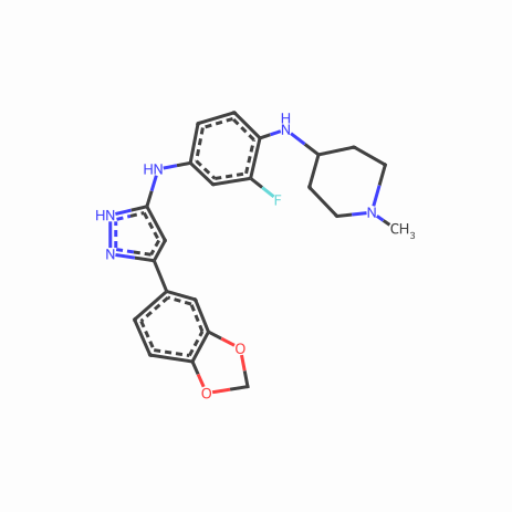 CN1CCC(Nc2ccc(Nc3cc(-c4ccc5c(c4)OCO5)n[nH]3)cc2F)CC1